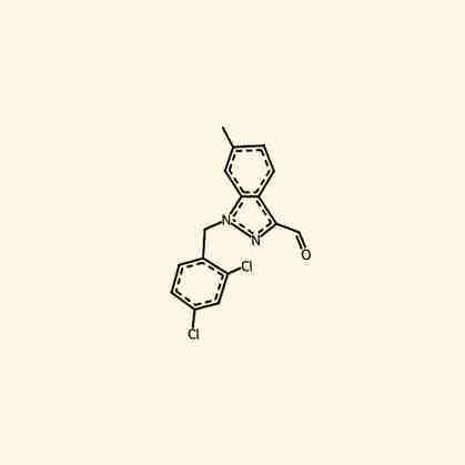 Cc1ccc2c(C=O)nn(Cc3ccc(Cl)cc3Cl)c2c1